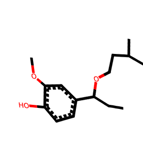 CCC(OCCC(C)C)c1ccc(O)c(OC)c1